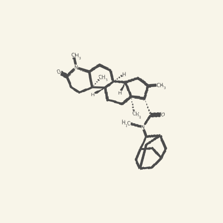 CC1C[C@H]2[C@@H]3CCC4N(C)C(=O)CC[C@]4(C)[C@H]3CC[C@]2(C)[C@H]1C(=O)N(C)C1C2CC3CC(C2)CC1C3